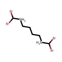 BrC(Br)[SiH2]CCCC[SiH2]C(Br)Br